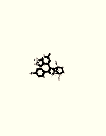 Cc1cc(-c2c(-c3ccc(F)cc3)nn3c2[C@H]2CC[C@@H]3C2)c2cn[nH]c2n1